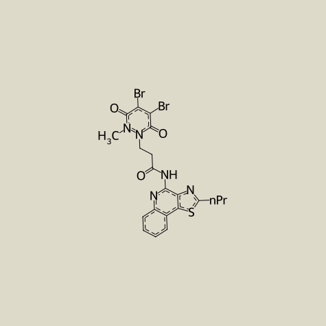 CCCc1nc2c(NC(=O)CCn3c(=O)c(Br)c(Br)c(=O)n3C)nc3ccccc3c2s1